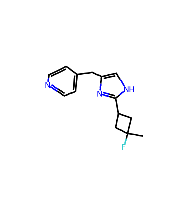 CC1(F)CC(c2nc(Cc3ccncc3)c[nH]2)C1